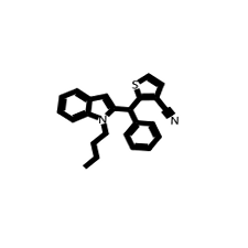 CCCCn1c(C(c2ccccc2)c2sccc2C#N)cc2ccccc21